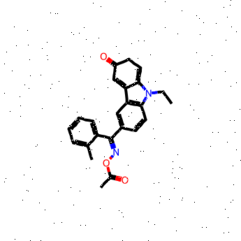 CCn1c2c(c3cc(C(=NOC(C)=O)c4ccccc4C)ccc31)=CC(=O)CC=2